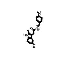 COc1ccc2[nH]c(C)c(CC(=O)N/N=C/c3ccc(N(C)C)cc3)c2c1